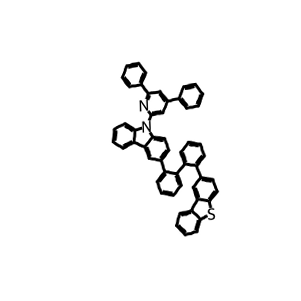 c1ccc(-c2cc(-c3ccccc3)nc(-n3c4ccccc4c4cc(-c5ccccc5-c5ccccc5-c5ccc6sc7ccccc7c6c5)ccc43)c2)cc1